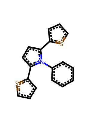 c1ccc(-n2c(-c3cccs3)ccc2-c2cccs2)cc1